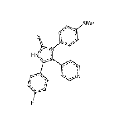 CSc1ccc(-n2c(-c3ccncc3)c(-c3ccc(F)cc3)[nH]c2=S)cc1